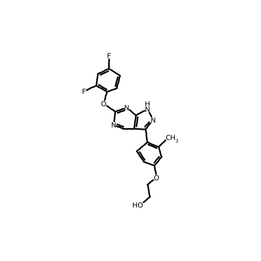 Cc1cc(OCCO)ccc1-c1n[nH]c2nc(Oc3ccc(F)cc3F)ncc12